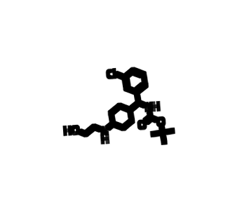 CC(C)(C)OC(=O)NC(c1cccc(Cl)c1)C1CCC(NCCO)CC1